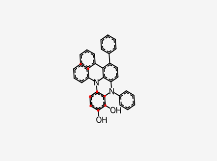 Oc1cccc(N(c2ccccc2)c2ccc(-c3ccccc3)c(-c3ccccc3)c2N(c2ccccc2)c2cccc(O)c2)c1